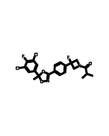 CC(C)C(=O)N1CC(F)(c2ccc(C3=NOC(C)(c4cc(Cl)c(F)c(Cl)c4)O3)cc2)C1